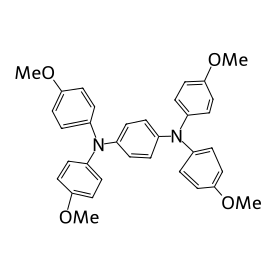 COc1ccc(N(c2ccc(OC)cc2)c2ccc(N(c3ccc(OC)cc3)c3ccc(OC)cc3)cc2)cc1